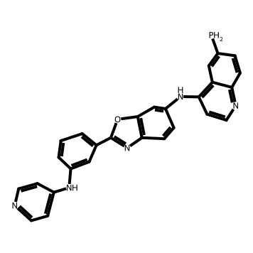 Pc1ccc2nccc(Nc3ccc4nc(-c5cccc(Nc6ccncc6)c5)oc4c3)c2c1